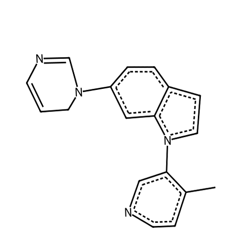 Cc1ccncc1-n1ccc2ccc(N3C=NC=CC3)cc21